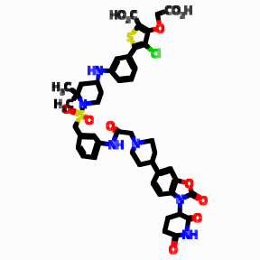 CC1(C)C[C@@H](Nc2cccc(-c3sc(C(=O)O)c(OCC(=O)O)c3Cl)c2)CCN1S(=O)(=O)Cc1cccc(NC(=O)CN2CCC(c3ccc4c(c3)oc(=O)n4C3CCC(=O)NC3=O)CC2)c1